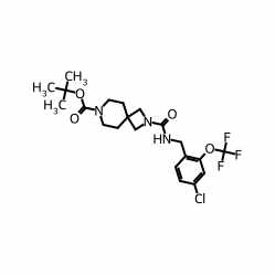 CC(C)(C)OC(=O)N1CCC2(CC1)CN(C(=O)NCc1ccc(Cl)cc1OC(F)(F)F)C2